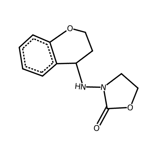 O=C1OCCN1NC1CCOc2ccccc21